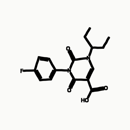 CCC(CC)n1cc(C(=O)O)c(=O)n(-c2ccc(F)cc2)c1=O